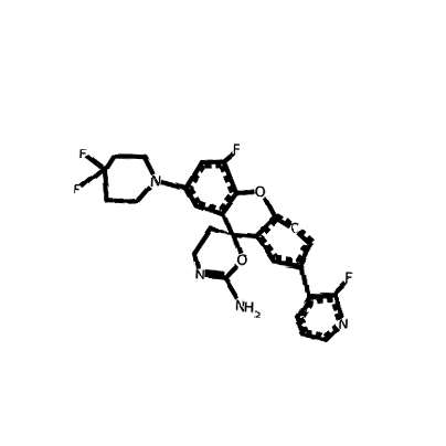 NC1=NCC[C@]2(O1)c1cc(-c3cccnc3F)ccc1Oc1c(F)cc(N3CCC(F)(F)CC3)cc12